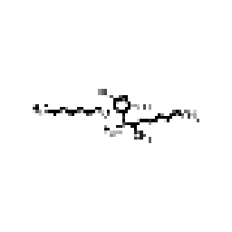 CCCCCCCO[C@H]1[C@H](N(C)C(C)CCCCCC)[C@@H](O)C[C@H]1O